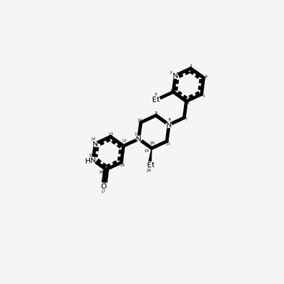 CCc1ncccc1CN1CCN(c2cn[nH]c(=O)c2)[C@H](CC)C1